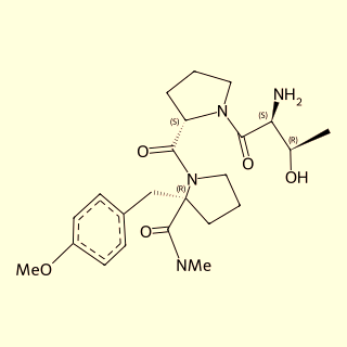 CNC(=O)[C@]1(Cc2ccc(OC)cc2)CCCN1C(=O)[C@@H]1CCCN1C(=O)[C@@H](N)[C@@H](C)O